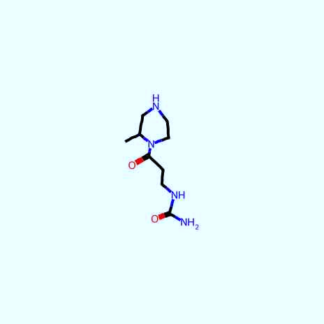 CC1CNCCN1C(=O)CCNC(N)=O